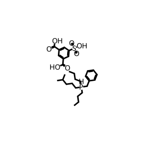 CCCC[PH](CCCC)(CCCC(C)C)Cc1ccccc1.O=C(O)c1cc(C(=O)O)cc(S(=O)(=O)O)c1